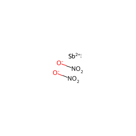 O=[N+]([O-])[O-].O=[N+]([O-])[O-].[Sb+2]